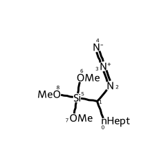 CCCCCCCC(N=[N+]=[N-])[Si](OC)(OC)OC